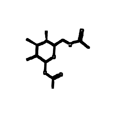 CC(=O)OCC1OC(OC(C)=O)C(C)[C@@H](C)[C@H]1C